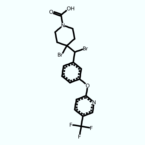 O=C(O)N1CCC(Br)(C(Br)c2cccc(Oc3ccc(C(F)(F)F)cn3)c2)CC1